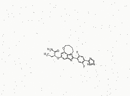 CC[C@H](Oc1cc2c3c(c1)nc(-c1cc(F)c(-c4ncn[nH]4)cc1F)n3CCCCO2)C(N)=O